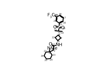 CNC1(CC(=O)N[C@H]2C[C@@H](C(C)(C)S(=O)(=O)c3cccc(C(F)(F)F)c3)C2)CCCCC1